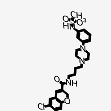 CS(=O)(=O)Nc1cccc(N2CCN(CCCCNC(=O)C3=Cc4cc(Cl)ccc4OC3)CC2)c1